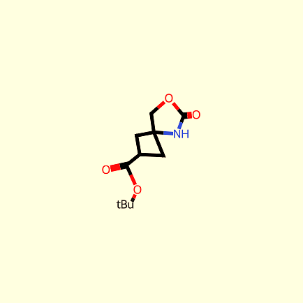 CC(C)(C)OC(=O)C1CC2(COC(=O)N2)C1